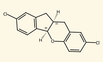 Clc1ccc2c(c1)C[C@@H]1Cc3cc(Cl)ccc3[C@@H]1O2